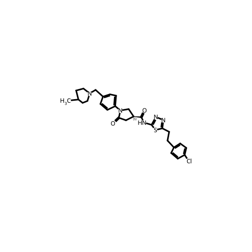 CC1CCN(Cc2ccc(N3C[C@@H](C(=O)Nc4nnc(CCc5ccc(Cl)cc5)s4)CC3=O)cc2)CC1